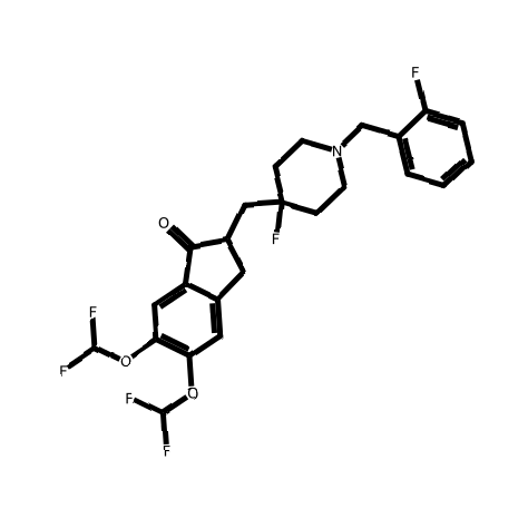 O=C1c2cc(OC(F)F)c(OC(F)F)cc2CC1CC1(F)CCN(Cc2ccccc2F)CC1